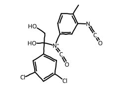 Cc1ccc([N+](=C=O)C(O)(CO)c2cc(Cl)cc(Cl)c2)cc1N=C=O